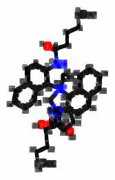 CCCCCCCCCCCCCC(=O)Nc1ccc2ccccc2c1[N+](C)(CN1CCCC1=O)c1c(NC(=O)CCCCCCCCCCCCC)ccc2ccccc12